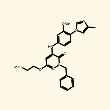 COCCOc1cc(Nc2ccc(-n3cnc(C)c3)c(OC)c2)c(=O)n(Cc2ccccc2)n1